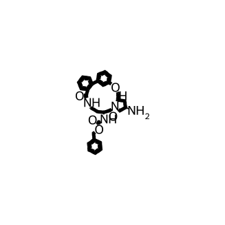 N[C@H]1C[C@H]2COc3cccc(c3)-c3ccccc3C(=O)NCC[C@@H](NC(=O)OCc3ccccc3)C(=O)N2C1